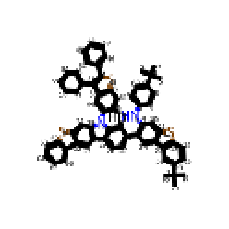 CC(C)(C)c1ccc(Nc2cc3sc4ccc(C(C)(C)C)cc4c3cc2-c2ccc3c4cc5c(cc4n4c3c2Bc2cc3sc(-c6ccccc6)c(-c6ccccc6)c3cc2-4)sc2ccccc25)cc1